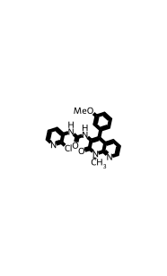 COc1cccc(-c2c(NC(=O)Nc3cccnc3Cl)c(=O)n(C)c3ncccc23)c1